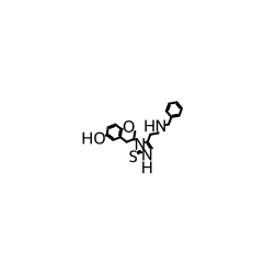 Oc1ccc2c(c1)CC(n1c(CCNCc3ccccc3)c[nH]c1=S)CO2